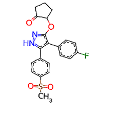 CS(=O)(=O)c1ccc(-c2[nH]nc(OC3CCCC3=O)c2-c2ccc(F)cc2)cc1